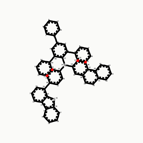 c1ccc(-c2cc(-c3ccccc3)c(N(c3ccc(-c4cccc5c4sc4ccccc45)cc3)c3ccc4c(ccc5ccccc54)c3)c(-c3ccccc3)c2)cc1